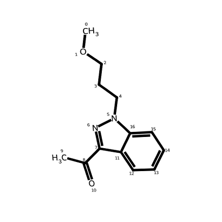 COCCCn1nc(C(C)=O)c2ccccc21